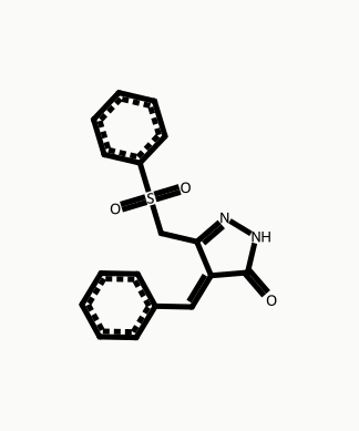 O=C1NN=C(CS(=O)(=O)c2ccccc2)/C1=C\c1ccccc1